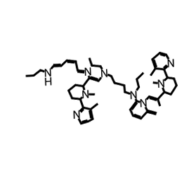 C=C1C=CC=C(N(CCC)CCCCN(\C=C(/N=C/C=C\C=C\NCCC)C2CCCC(c3ncccc3C)N2C)CCC)N1/C=C(\C)C1CCCC(c2ncccc2C)N1C